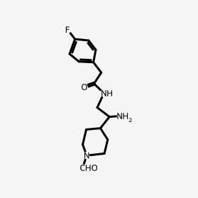 NC(CNC(=O)Cc1ccc(F)cc1)C1CCN(C=O)CC1